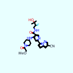 COCC(=O)N1CCC(Nc2cc(-c3ccc4cc(C#N)cnn34)ncc2C(=O)NCC(F)C(C)(C)O)CC1